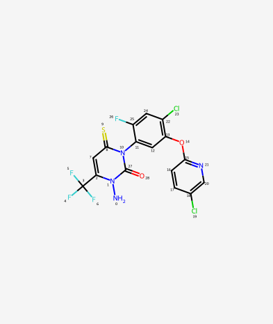 Nn1c(C(F)(F)F)cc(=S)n(-c2cc(Oc3ccc(Cl)cn3)c(Cl)cc2F)c1=O